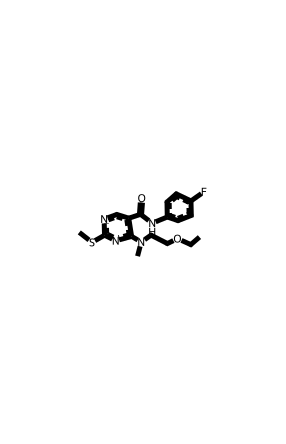 CCOCCN(C)c1nc(SC)ncc1C(=O)Nc1ccc(F)cc1